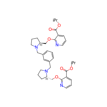 CC(C)OC(=O)c1cccnc1OC[C@@H]1CCCN1Cc1cccc(CN2CCC[C@H]2COc2ncccc2C(=O)OC(C)C)c1